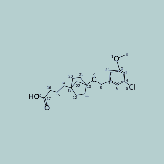 COc1cc(Cl)cc(COC23CCC(CCCC(=O)O)(CC2)C3)c1